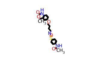 CC(=O)Nc1ccc(SON=CCCCOc2ccc3c(c2)C(C)OC(=O)N3)cc1